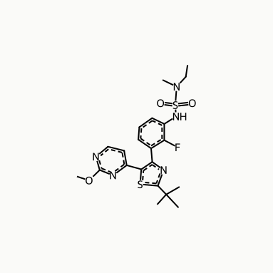 CCN(C)S(=O)(=O)Nc1cccc(-c2nc(C(C)(C)C)sc2-c2ccnc(OC)n2)c1F